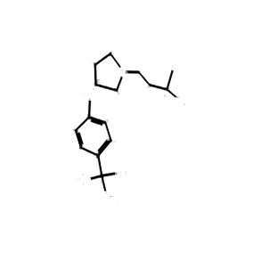 CC(C)(C)c1ccc(O[C@@H]2CCN(CCC(F)F)C2)cc1